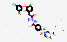 CCN(CC)S(=O)(=O)c1ccc(C(=O)NNC(=O)Cc2ccc(Cl)c(Oc3cc(Cl)cc(Br)c3)c2F)cc1